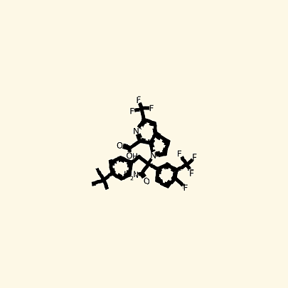 CC(C)(C)c1ccc(CC(C(N)=O)(c2ccc(F)c(C(F)(F)F)c2)n2ccc3cc(C(F)(F)F)nc(C(=O)O)c32)cc1